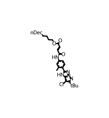 CCCCCCCCCCCCCCOC(=O)C=CC(=O)Nc1ccc(-c2nn3nc(C(C)(C)C)c(Cl)c3[nH]2)c(C)c1